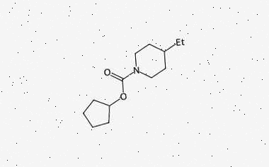 CCC1CCN(C(=O)OC2CCCC2)CC1